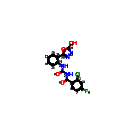 O=C(NC(=O)c1ccc(F)cc1Cl)Nc1ccccc1-c1nnc(O)o1